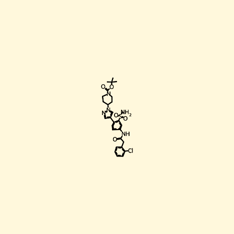 CC(C)(C)OC(=O)N1CCC(n2cc(-c3ccc(NC(=O)Cc4ccccc4Cl)cc3S(N)(=O)=O)cn2)CC1